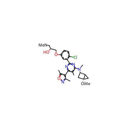 CNC[C@H](O)COc1ccc(Cl)c(-c2nc(-c3c(C)noc3C)c(C)c(N(C)[C@H]3C[C@]4(OC)CC34)n2)c1